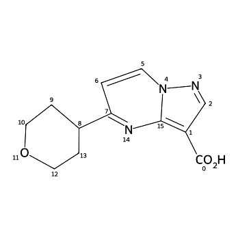 O=C(O)c1cnn2ccc(C3CCOCC3)nc12